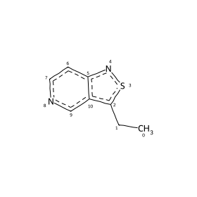 CCc1snc2ccncc12